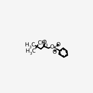 CC(C)(C)CC(=O)COS(=O)(=O)c1ccccc1